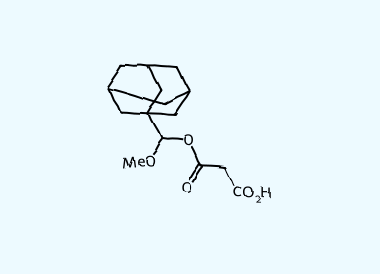 COC(OC(=O)CC(=O)O)C12CC3CC(CC(C3)C1)C2